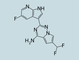 Nc1nc(-c2c[nH]c3ncc(F)cc23)nn2cc(C(F)F)cc12